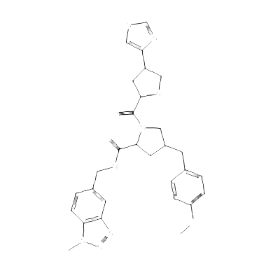 COc1ccc(CC2CC(C(=O)NCc3ccc4c(c3)nnn4C)N(C(=O)C3CC(c4c[nH]cn4)CN3)C2)cc1